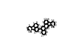 c1cnc2c(c1)-c1cccc3c(-c4cc5c6cccc7c6c(cc5c5ccccc45)-c4ncccc4-7)ccc-2c13